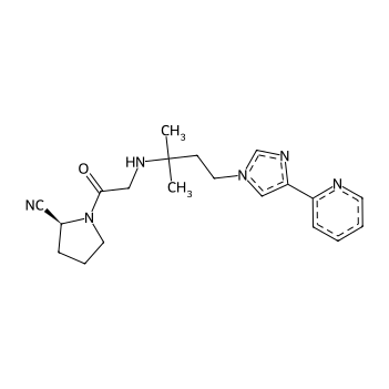 CC(C)(CCn1cnc(-c2ccccn2)c1)NCC(=O)N1CCC[C@H]1C#N